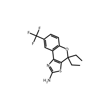 CCC1(CC)Oc2ccc(C(F)(F)F)cc2-c2nc(N)sc21